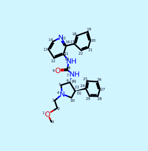 COCCN1C[C@H](NC(=O)Nc2cccnc2-c2ccccc2)[C@@H](c2ccccc2)C1